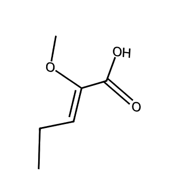 CCC=C(OC)C(=O)O